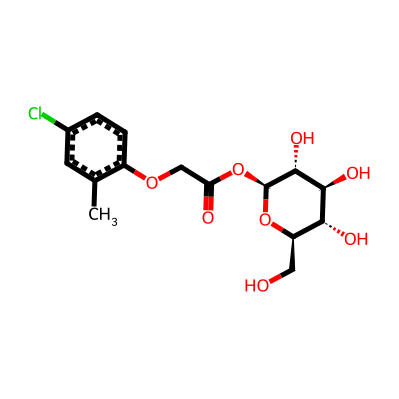 Cc1cc(Cl)ccc1OCC(=O)O[C@@H]1O[C@H](CO)[C@@H](O)[C@H](O)[C@H]1O